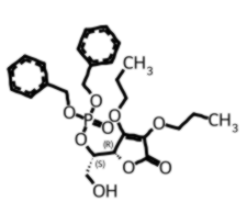 CCCOC1=C(OCCC)[C@@H]([C@H](CO)OP(=O)(OCc2ccccc2)OCc2ccccc2)OC1=O